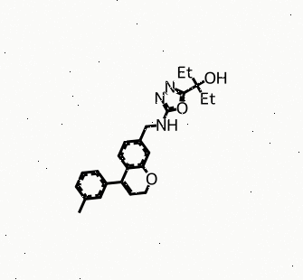 CCC(O)(CC)c1nnc(NCc2ccc3c(c2)OCC=C3c2cccc(C)c2)o1